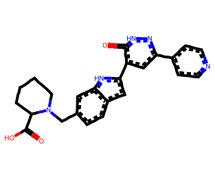 O=C(O)C1CCCCN1Cc1ccc2cc(-c3cc(-c4ccncc4)n[nH]c3=O)[nH]c2c1